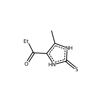 CCC(=O)c1[nH]c(=S)[nH]c1C